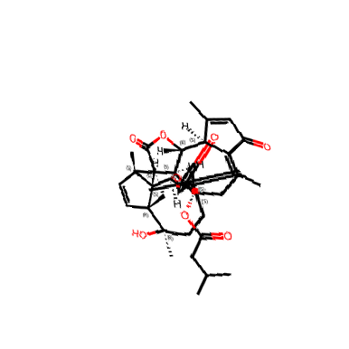 C=C1C(=O)O[C@H]2[C@H]1CC[C@@](C)(O)[C@]13C=C[C@@](C)([C@H]21)[C@@]1(C3)C(=O)O[C@@H]2[C@H]3C(C)=CC(=O)C3=C(C)C[C@H](OC(=O)CC(C)C)[C@H]21